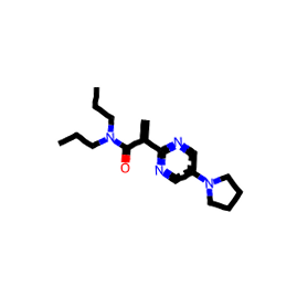 C=C(C(=O)N(CCC)CCC)c1ncc(N2CCCC2)cn1